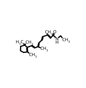 CCNC(=O)C=C(C)C=CC=C(C)C=CC1=C(C)CCCC1(C)C